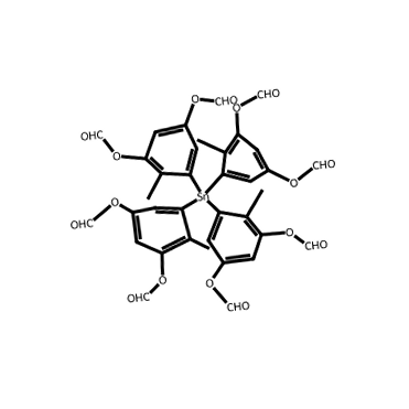 Cc1c(OC=O)cc(OC=O)c[c]1[Sn]([c]1cc(OC=O)cc(OC=O)c1C)([c]1cc(OC=O)cc(OC=O)c1C)[c]1cc(OC=O)cc(OC=O)c1C